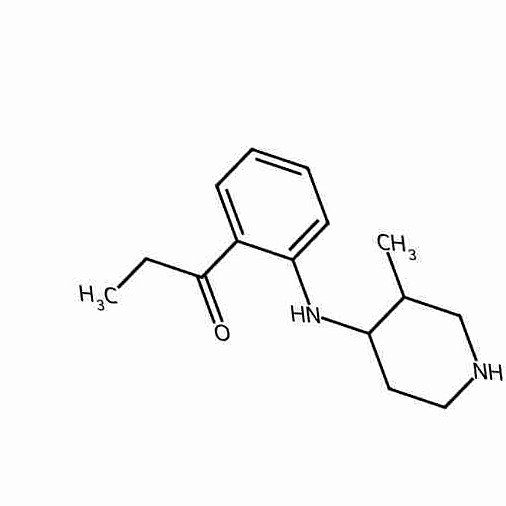 CCC(=O)c1ccccc1NC1CCNCC1C